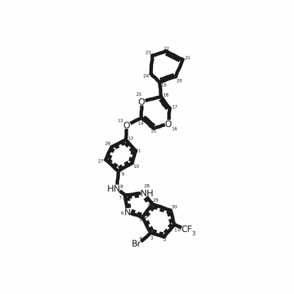 FC(F)(F)c1cc(Br)c2nc(Nc3ccc(OC4=COC=C(C5=CC=CCC5)O4)cc3)[nH]c2c1